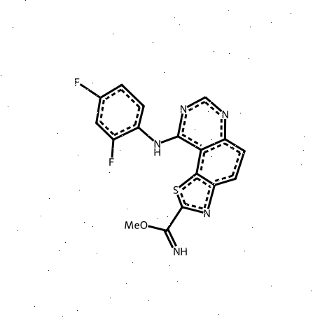 COC(=N)c1nc2ccc3ncnc(Nc4ccc(F)cc4F)c3c2s1